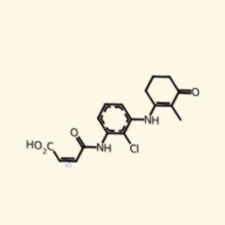 CC1=C(Nc2cccc(NC(=O)/C=C\C(=O)O)c2Cl)CCCC1=O